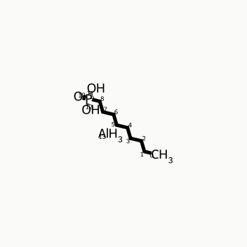 CCCCCCCCCP(=O)(O)O.[AlH3]